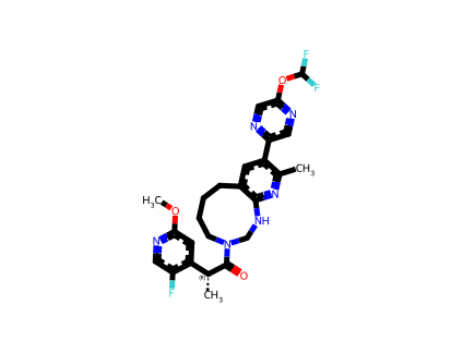 COc1cc([C@@H](C)C(=O)N2CCCCc3cc(-c4cnc(OC(F)F)cn4)c(C)nc3NC2)c(F)cn1